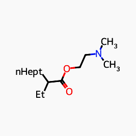 CCCCCCCC(CC)C(=O)OCCN(C)C